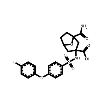 NC(=O)C12CCC(CC(NS(=O)(=O)c3ccc(Oc4ccc(F)cc4)cc3)(C(=O)O)C1)O2